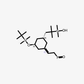 CC(C)(C[C@@H]1C/C(=C\CP=O)C[C@@H](O[Si](C)(C)C(C)(C)C)C1)[Si](C)(C)O